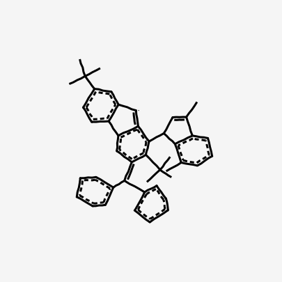 CC1=CC(c2c(C(C)(C)C)c(=C(c3ccccc3)c3ccccc3)cc3c2=[C]c2cc(C(C)(C)C)ccc2-3)c2c(C)cccc21